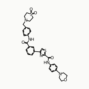 O=C(Nc1ccc(CN2CCS(=O)(=O)CC2)cc1)c1cccc(-c2csc(C(=O)Nc3ccc(N4CCOCC4)cc3)n2)c1